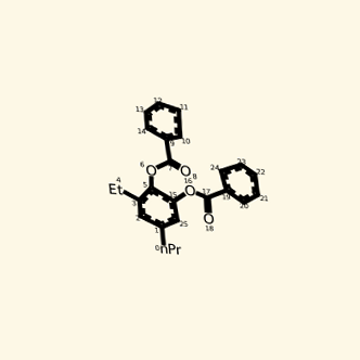 CCCc1cc(CC)c(OC(=O)c2ccccc2)c(OC(=O)c2ccccc2)c1